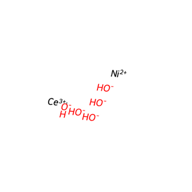 [Ce+3].[Ni+2].[OH-].[OH-].[OH-].[OH-].[OH-]